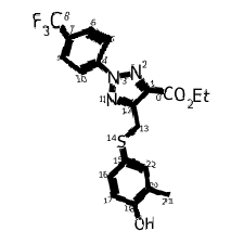 CCOC(=O)c1nn(-c2ccc(C(F)(F)F)cc2)nc1CSc1ccc(O)c(C)c1